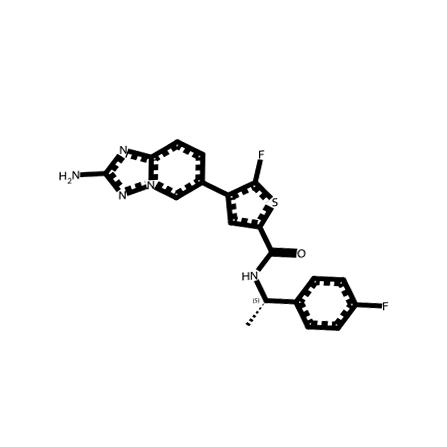 C[C@H](NC(=O)c1cc(-c2ccc3nc(N)nn3c2)c(F)s1)c1ccc(F)cc1